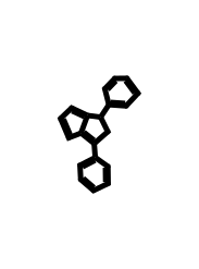 C1=CC2=C(c3ccccc3)CC(c3ccccc3)C2=C1